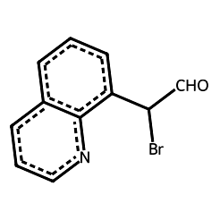 O=CC(Br)c1cccc2cccnc12